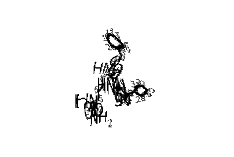 NS(=O)(=O)NCCCC[C@H](NC(=O)OCc1ccccc1)C(=O)Nc1nc(-c2ccccc2)ns1